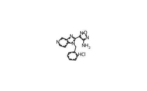 Cl.Nc1nonc1-c1nc2cnccc2n1Cc1ccccc1